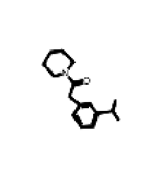 CC(C)c1cccc(CC(=O)N2CCCCC2)c1